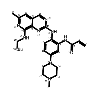 C=CC(=O)Nc1cc(N2CCN(C)CC2)ccc1Nc1ncc2cc(C)nc(NCC(C)(C)C)c2n1